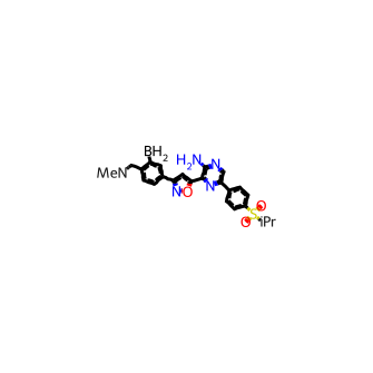 Bc1cc(-c2cc(-c3nc(-c4ccc(S(=O)(=O)C(C)C)cc4)cnc3N)on2)ccc1CNC